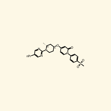 CCCc1cnc(N2CC[C@H](Oc3ccn(-c4ccc(S(C)(=O)=O)cc4)c(=O)c3)C[C@H]2C)nc1